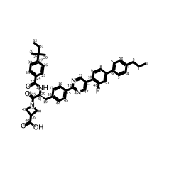 CCCc1ccc(-c2ccc(-c3cnc(-c4ccc(C[C@H](NC(=O)c5ccc(C(C)(C)CC)cc5)C(=O)N5CC(C(=O)O)C5)cc4)nc3)c(F)c2)cc1